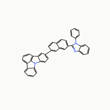 c1ccc(-n2c(-c3ccc4ccc(-c5ccc6c(c5)c5cccc7c8ccccc8n6c75)cc4c3)nc3ccccc32)cc1